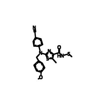 COc1ccc(CN(c2ccc(C#N)cc2)c2nc(C(=O)NSC)c(C)s2)cc1